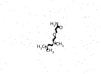 CN(C)CCN(C)CCOCCC(N)=O